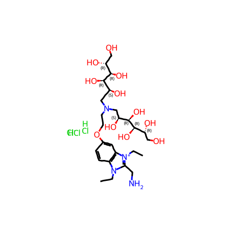 CCn1c(CN)[n+](CC)c2cc(OCCN(C[C@H](O)[C@@H](O)[C@H](O)[C@H](O)CO)C[C@H](O)[C@@H](O)[C@H](O)[C@H](O)CO)ccc21.Cl.Cl.[Cl-]